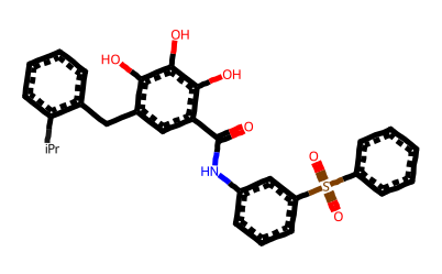 CC(C)c1ccccc1Cc1cc(C(=O)Nc2cccc(S(=O)(=O)c3ccccc3)c2)c(O)c(O)c1O